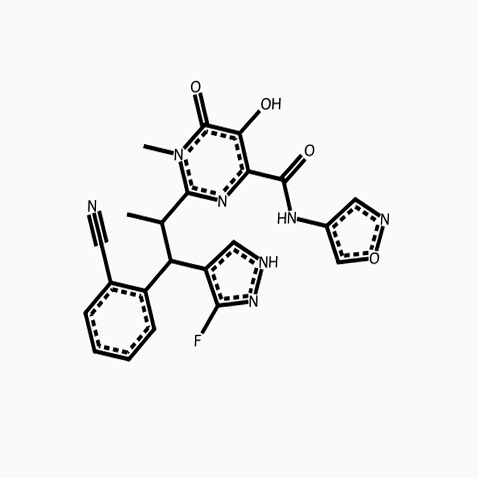 CC(c1nc(C(=O)Nc2cnoc2)c(O)c(=O)n1C)C(c1ccccc1C#N)c1c[nH]nc1F